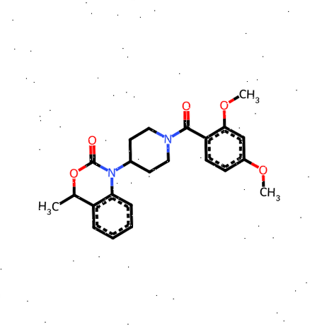 COc1ccc(C(=O)N2CCC(N3C(=O)OC(C)c4ccccc43)CC2)c(OC)c1